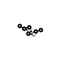 N=C1c2cccc(-n3c4ccccc4c4cc(-c5ccccc5)ccc43)c2C(=O)N1c1ccc(-c2ccccc2)cc1